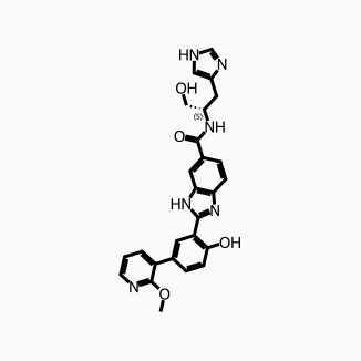 COc1ncccc1-c1ccc(O)c(-c2nc3ccc(C(=O)N[C@H](CO)Cc4c[nH]cn4)cc3[nH]2)c1